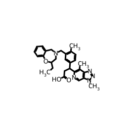 CCC1CN(Cc2cc(C(CC(=O)O)c3ncc4c(nnn4C)c3C)ccc2C)Cc2ccccc2O1